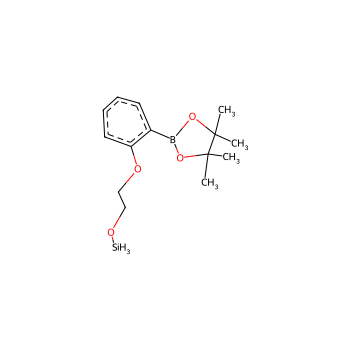 CC1(C)OB(c2ccccc2OCCO[SiH3])OC1(C)C